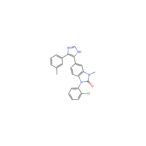 Cc1cccc(-c2nc[nH]c2-c2ccc3c(c2)n(C)c(=O)n3-c2ccccc2Cl)c1